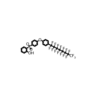 O=S(=O)(c1ccc(Oc2ccc(C(F)(F)C(F)(F)C(F)(F)C(F)(F)C(F)(F)C(F)(F)C(F)(F)C(F)(F)F)cc2)cc1)c1ccccc1O